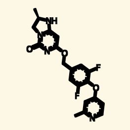 Cc1cc(Oc2c(F)cc(COc3cc4n(c(=O)n3)C[C@@H](C)N4)cc2F)ccn1